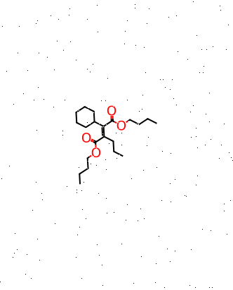 CCCCOC(=O)C(CCC)=C(C(=O)OCCCC)C1CCCCC1